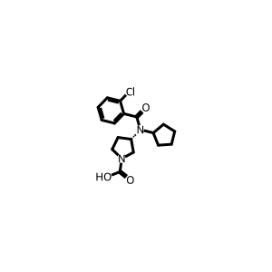 O=C(O)N1CC[C@H](N(C(=O)c2ccccc2Cl)C2CCCC2)C1